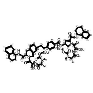 C[C@@H](C(=O)NC(C(=O)N1Cc2cc(CCc3ccc(C(=O)NC4CC(C(=O)N[C@@H]5CCCc6ccccc65)N(C(=O)C(NC(=O)[C@H](C)N(C)C(=O)OC(C)(C)C)C(C)(C)C)C4)cc3)ccc2CC1C(=O)NC1CCCc2ccccc21)C(C)(C)C)N(C)C(=O)OC(C)(C)C